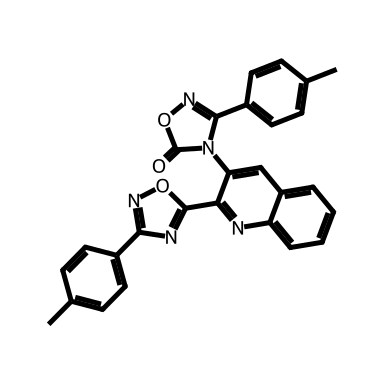 Cc1ccc(-c2noc(-c3nc4ccccc4cc3-n3c(-c4ccc(C)cc4)noc3=O)n2)cc1